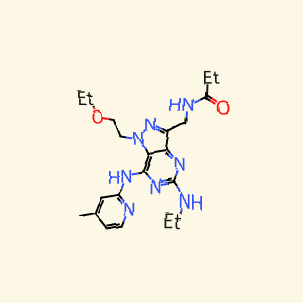 CCNc1nc(Nc2cc(C)ccn2)c2c(n1)c(CNC(=O)CC)nn2CCOCC